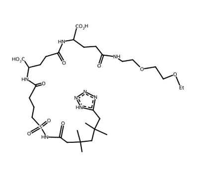 CCOCCOCCNC(=O)CCC(NC(=O)CCC(NC(=O)CCCS(=O)(=O)NC(=O)CC(C)(C)CC(C)(C)Cc1nnn[nH]1)C(=O)O)C(=O)O